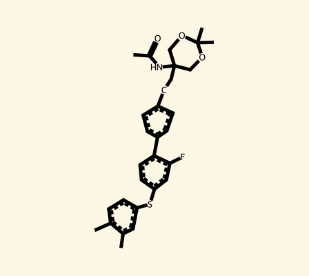 CC(=O)NC1(CCc2ccc(-c3ccc(Sc4ccc(C)c(C)c4)cc3F)cc2)COC(C)(C)OC1